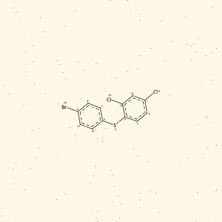 Clc1ccc(Sc2ccc(Br)cc2)c(Cl)c1